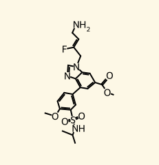 COC(=O)c1cc(-c2ccc(OC)c(S(=O)(=O)NC(C)C)c2)c2ncn(CC(F)=CCN)c2c1